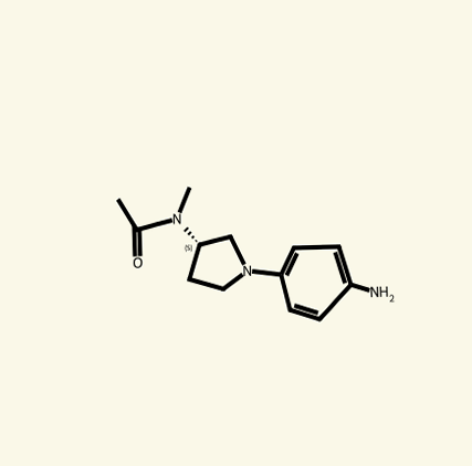 CC(=O)N(C)[C@H]1CCN(c2ccc(N)cc2)C1